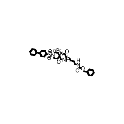 CCCN1C(=O)[C@H](CCCCNC(=O)OCc2ccccc2)NC(=O)C12CCN(S(=O)(=O)c1ccc(-c3ccccc3)cc1)CC2